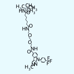 CC(NC(=O)CCCCCC(=O)NCCOCCOCCNC(=O)c1ccc2c(c1)c1cn(C)nc1n2-c1ccc(C(F)(F)F)cc1)C(C)(C)C